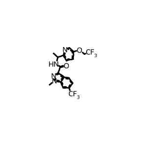 CC(NC(=O)c1nn(C)c2cc(C(F)(F)F)ccc12)c1ccc(OCC(F)(F)F)cn1